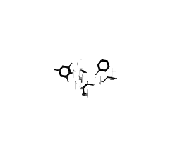 Cc1cc(C)c(-n2c(Cl)cn3c(CN(CCC(F)(F)F)Cc4cccc(F)c4)c(C(F)(F)F)nc23)c(C)c1